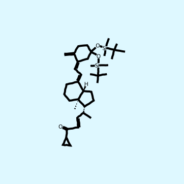 C=C1CCC(O[Si](C)(C)C(C)(C)C)(O[Si](C)(C)C(C)(C)C)CC1=CC=C1CCC[C@]2(C)[C@@H](C(C)/C=C/C(=O)C3CC3)CC[C@@H]12